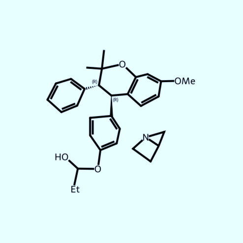 C1CN2CC12.CCC(O)Oc1ccc([C@@H]2c3ccc(OC)cc3OC(C)(C)[C@H]2c2ccccc2)cc1